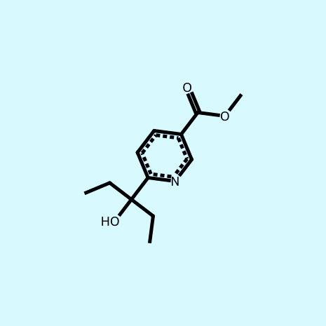 CCC(O)(CC)c1ccc(C(=O)OC)cn1